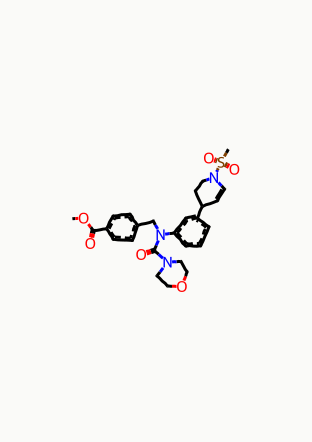 COC(=O)c1ccc(CN(C(=O)N2CCOCC2)c2cccc(C3C=CN(S(C)(=O)=O)CC3)c2)cc1